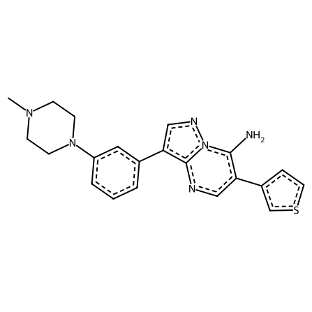 CN1CCN(c2cccc(-c3cnn4c(N)c(-c5ccsc5)cnc34)c2)CC1